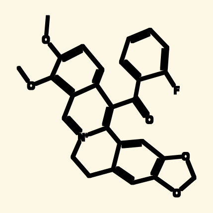 COc1ccc2c(C(=O)c3ccccc3F)c3[n+](cc2c1OC)CCc1cc2c(cc1-3)OCO2